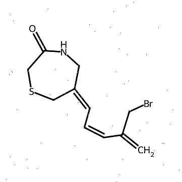 C=C(/C=C\C=C1\CNC(=O)CSC1)CBr